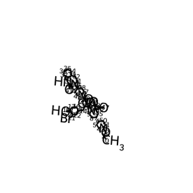 CCON1CCC([C@@H]2CCN(C(=O)C(Cc3ccc(O)c(Br)c3)OC(=O)N3CCC(N4CCc5ccccc5NC4=O)CC3)C3(C2)C(=O)C3=O)CC1